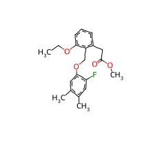 CCOc1cccc(CC(=O)OC)c1COc1cc(C)c(C)cc1F